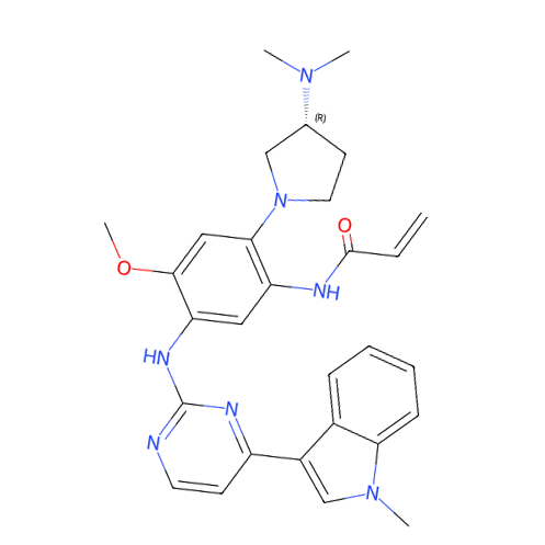 C=CC(=O)Nc1cc(Nc2nccc(-c3cn(C)c4ccccc34)n2)c(OC)cc1N1CC[C@@H](N(C)C)C1